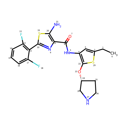 CCc1cc(NC(=O)c2nc(-c3c(F)cccc3F)sc2N)c(O[C@@H]2CCNC2)s1